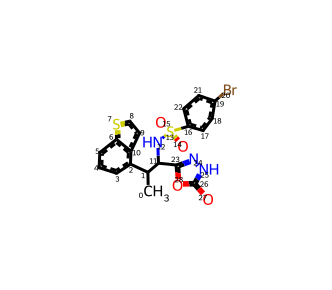 CC(c1cccc2sccc12)C(NS(=O)(=O)c1ccc(Br)cc1)c1n[nH]c(=O)o1